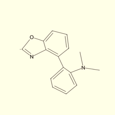 CN(C)c1ccccc1-c1cccc2o[c]nc12